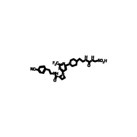 N#Cc1ccc(CCNC(=O)[C@@H]2CCN2c2cc(N3CCC(CCNC(=O)NCS(=O)(=O)O)CC3)nc(C(F)(F)F)n2)cc1